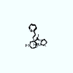 N[C@@H]1CCNC[C@]1(CCc1ccccn1)C(=O)N1CCSC1